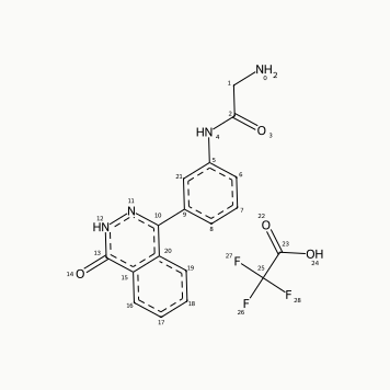 NCC(=O)Nc1cccc(-c2n[nH]c(=O)c3ccccc23)c1.O=C(O)C(F)(F)F